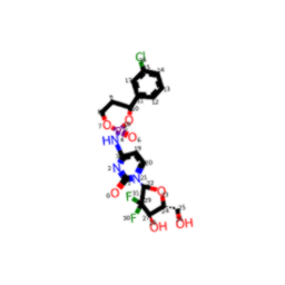 O=c1nc(NP2(=O)OCCC(c3cccc(Cl)c3)O2)ccn1[C@@H]1O[C@H](CO)[C@@H](O)C1(F)F